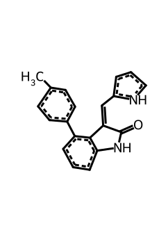 Cc1ccc(-c2cccc3c2/C(=C/c2ccc[nH]2)C(=O)N3)cc1